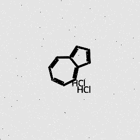 Cl.Cl.c1ccc2cccc-2cc1